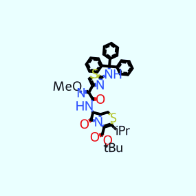 CON=C(C(=O)NC1C(=O)N2C(C(=O)OC(C)(C)C)=C(C(C)C)SCC12)c1csc(NC(c2ccccc2)(c2ccccc2)c2ccccc2)n1